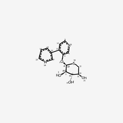 O[C@@H]1[C@@H](O)[C@@H](Oc2cnccc2-c2cccnc2)SC[C@H]1O